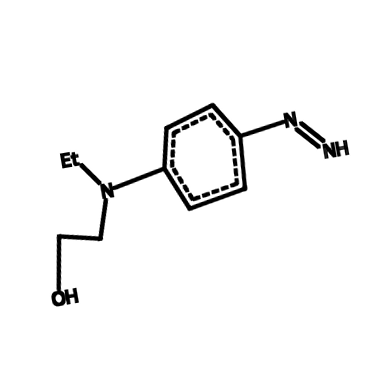 CCN(CCO)c1ccc(N=N)cc1